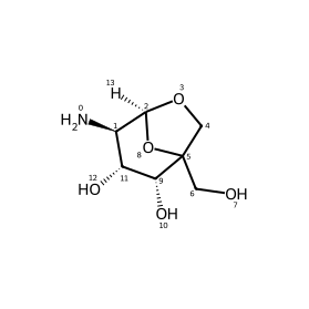 N[C@H]1[C@H]2OCC(CO)(O2)[C@H](O)[C@@H]1O